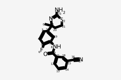 CC1(c2ccc(F)c(NC(=O)c3cccc(C#N)c3)c2)CCSC(N)=N1